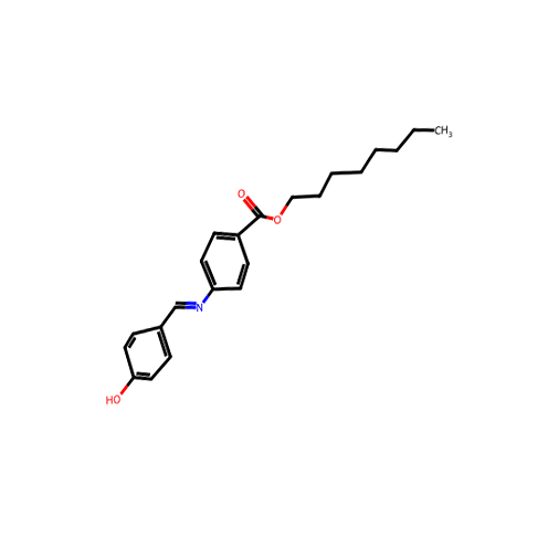 CCCCCCCCOC(=O)c1ccc(N=Cc2ccc(O)cc2)cc1